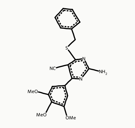 COc1cc(-c2nc(N)nc(SCc3ccccc3)c2C#N)cc(OC)c1OC